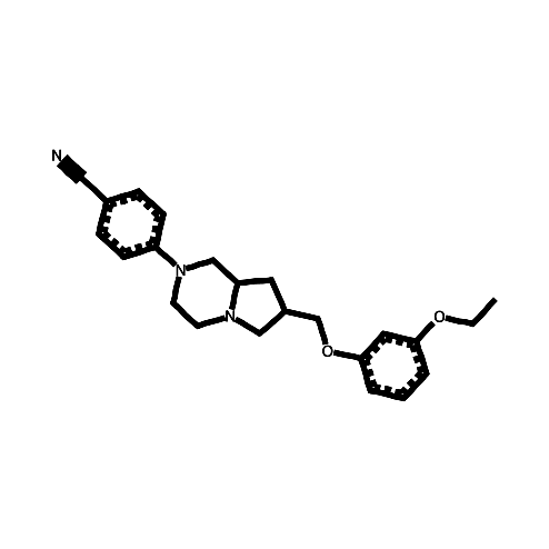 CCOc1cccc(OCC2CC3CN(c4ccc(C#N)cc4)CCN3C2)c1